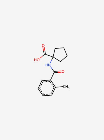 Cc1ccccc1C(=O)NC1(C(=O)O)CCCC1